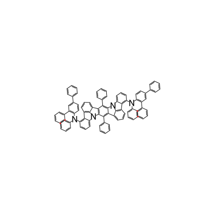 c1ccc(-c2ccc(N(c3ccccc3)c3cccc4c3c3cccc5c6c(-c7ccccc7)c7c(c(-c8ccccc8)c6n4c35)c3cccc4c5c(N(c6ccccc6)c6ccc(-c8ccccc8)cc6-c6ccccc6)cccc5n7c43)c(-c3ccccc3)c2)cc1